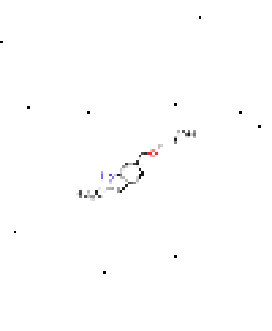 COCCOCc1ccc2cc(C(=O)O)[nH]c2c1